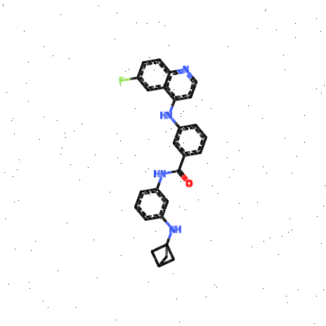 O=C(Nc1cccc(NC23CC(C2)C3)c1)c1cccc(Nc2ccnc3ccc(F)cc23)c1